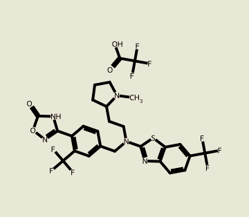 CN1CCCC1CCN(Cc1ccc(-c2noc(=O)[nH]2)c(C(F)(F)F)c1)c1nc2ccc(C(F)(F)F)cc2s1.O=C(O)C(F)(F)F